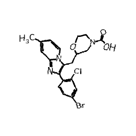 Cc1ccn2c(CC3CN(C(=O)O)CCO3)c(-c3ccc(Br)cc3Cl)nc2c1